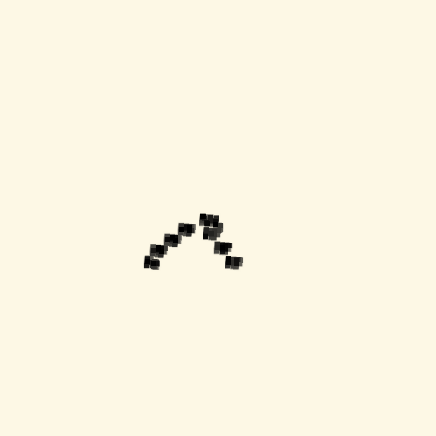 F.F.F.F.F.F.N.[Fe]